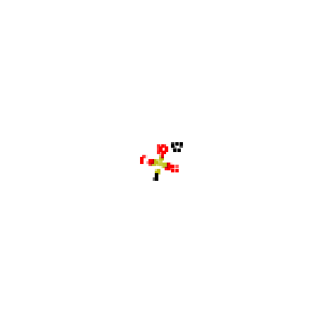 CS(=O)(=O)O.[W]